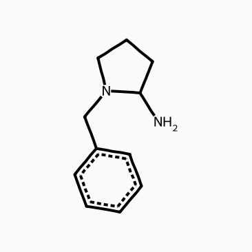 NC1CCCN1Cc1ccccc1